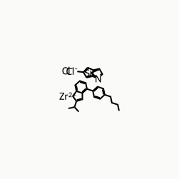 CC1=C2C3=CC=NC3=C1[Si]2(C)C.CCCCc1ccc(-c2cccc3c2C=C(C(C)C)[CH]3[Zr+2])cc1.[Cl-].[Cl-]